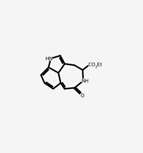 CCOC(=O)C1CC2=CNC3=CC=C/C(=C/C(=O)N1)C23